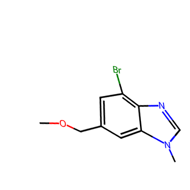 COCc1cc(Br)c2ncn(C)c2c1